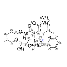 CC(C)C[C@@H](C(=O)NN)[C@@H](C(=O)NOC1CCCCO1)C(/C=C/c1ccccc1)(CCCO)S(C)(=O)=O